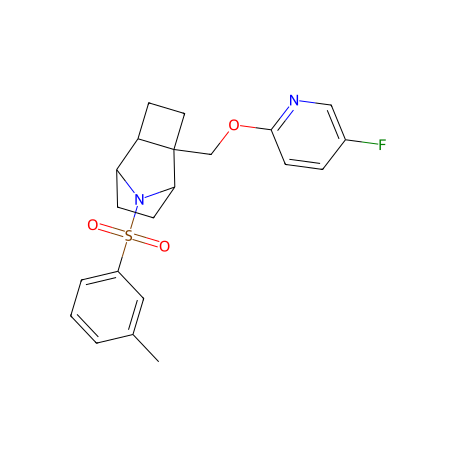 Cc1cccc(S(=O)(=O)N2C3CCC2C2(COc4ccc(F)cn4)CCC32)c1